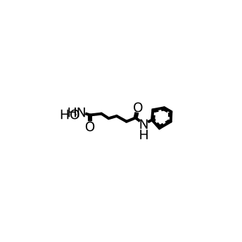 O=C(CCCCC(=O)Nc1ccccc1)NO